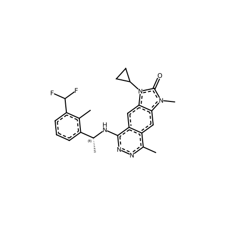 Cc1c(C(F)F)cccc1[C@@H](C)Nc1nnc(C)c2cc3c(cc12)n(C1CC1)c(=O)n3C